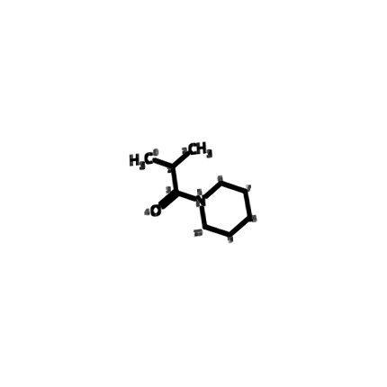 CC(C)C(=O)N1CC[C]CC1